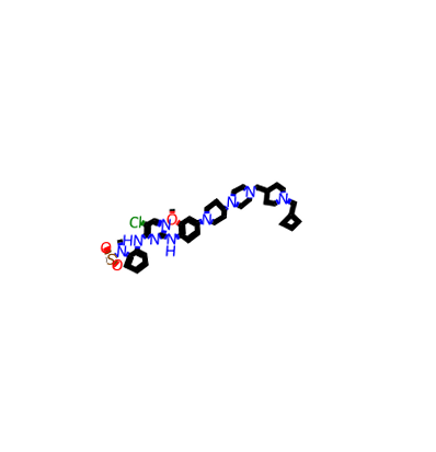 COc1cc(N2CCC(N3CCN(CC4CCN(CC5CCC5)CC4)CC3)CC2)ccc1Nc1ncc(Cl)c(Nc2ccccc2N(C)S(C)(=O)=O)n1